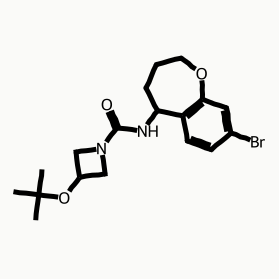 CC(C)(C)OC1CN(C(=O)NC2CCCOc3cc(Br)ccc32)C1